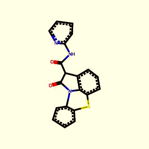 O=C(Nc1ccccn1)C1C(=O)N2c3ccccc3Sc3cccc1c32